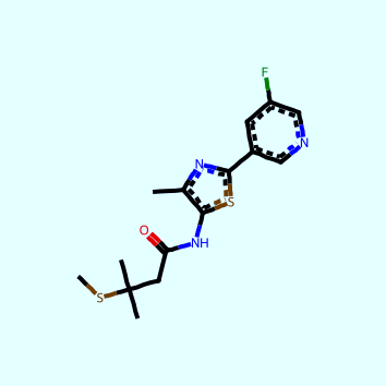 CSC(C)(C)CC(=O)Nc1sc(-c2cncc(F)c2)nc1C